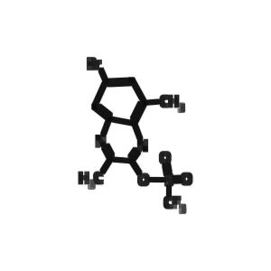 Cc1nc2cc(Br)cc(C)c2nc1OS(=O)(=O)C(F)(F)F